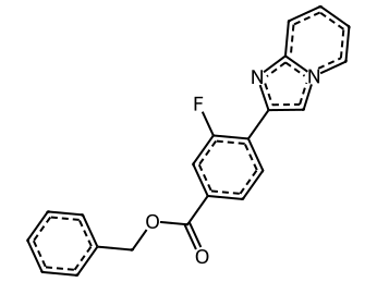 O=C(OCc1ccccc1)c1ccc(-c2cn3ccccc3n2)c(F)c1